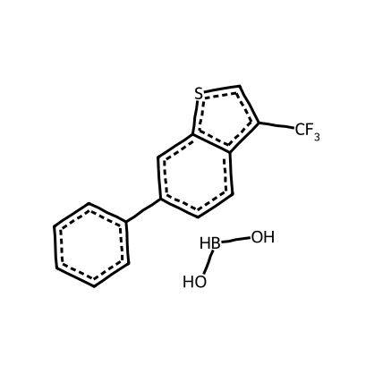 FC(F)(F)c1csc2cc(-c3ccccc3)ccc12.OBO